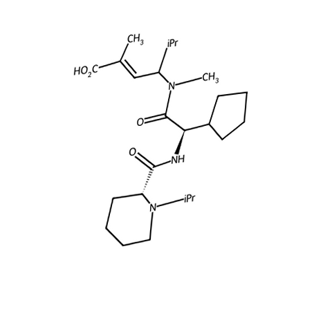 C/C(=C\C(C(C)C)N(C)C(=O)[C@H](NC(=O)[C@H]1CCCCN1C(C)C)C1CCCC1)C(=O)O